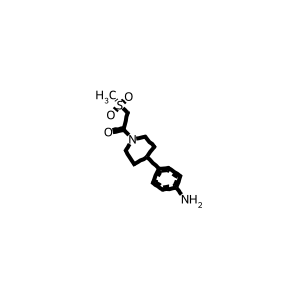 CS(=O)(=O)CC(=O)N1CCC(c2ccc(N)cc2)CC1